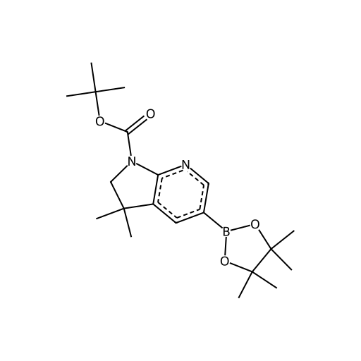 CC(C)(C)OC(=O)N1CC(C)(C)c2cc(B3OC(C)(C)C(C)(C)O3)cnc21